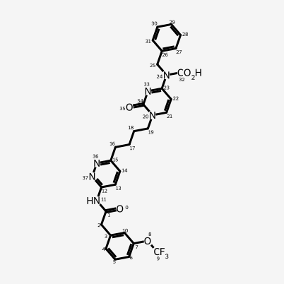 O=C(Cc1cccc(OC(F)(F)F)c1)Nc1ccc(CCCCn2ccc(N(Cc3ccccc3)C(=O)O)nc2=O)nn1